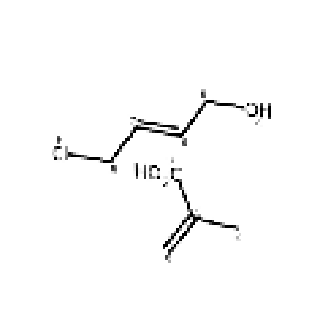 C=C(C)C(=O)O.OCC=CCCl